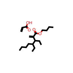 C=C(C(=O)OCCCC)C(CC)C(CC)CCCC.C=CC(=O)O